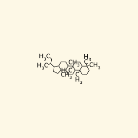 CCC(C)C1CC[C@@]2(C)C1CC[C@]1(C)C2CCC2[C@@]3(C)CCCC(C)(C)C3CC[C@]21C